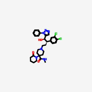 CNC(=O)C1(N2CCCCC2=O)CCN(CC[C@@H](c2ccc(Cl)c(Cl)c2)[C@@H](O)c2cnnn2-c2ccccc2)CC1